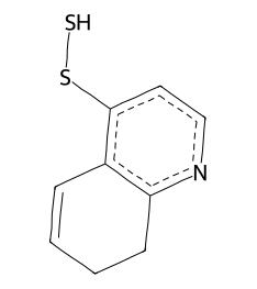 SSc1ccnc2c1C=CCC2